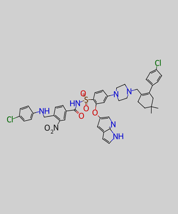 CC1(C)CCC(CN2CCN(c3ccc(S(=O)(=O)NC(=O)c4ccc(CNc5ccc(Cl)cc5)c([N+](=O)[O-])c4)c(Oc4cnc5[nH]ccc5c4)c3)CC2)=C(c2ccc(Cl)cc2)C1